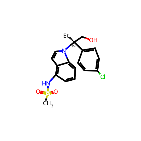 CC[C@@](CO)(c1ccc(Cl)cc1)n1ccc2c(NS(C)(=O)=O)cccc21